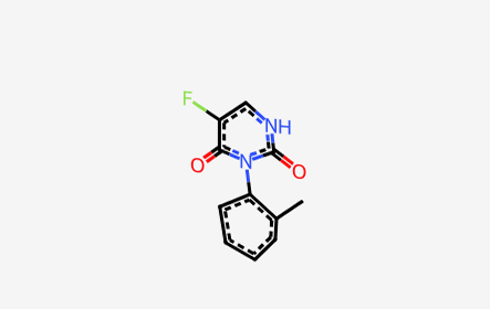 Cc1ccccc1-n1c(=O)[nH]cc(F)c1=O